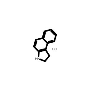 Cl.c1ccc2c3c(ccc2c1)NCC3